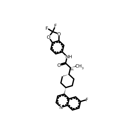 C[C@@H](C(=O)Nc1ccc2c(c1)OC(F)(F)O2)[C@H]1CC[C@@H](c2ccnc3ccc(F)cc32)CC1